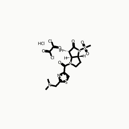 CC(C)[C@@H]1C(=O)N(S(C)(=O)=O)[C@@H]2CCN(C(=O)c3csc(CN(C)C)n3)[C@H]21.Cl.O=C(Cl)C(=O)Cl